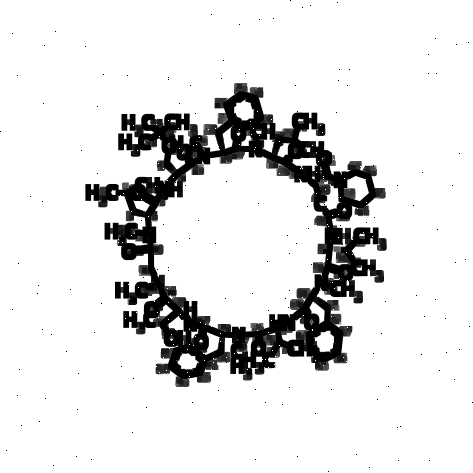 CC(C)C[C@H]1C(=O)N[C@@H](COC(C)(C)C)C(=O)N(C)[C@@H](Cc2ccccc2)C(=O)N(C)[C@@H](CC(C)C)C(=O)N[C@H](C(=O)N2CCCCC2)CC(=O)N[C@H](C(C)C)C(=O)N(C)[C@@H](Cc2ccccc2)C(=O)N[C@@H](C(C)C)C(=O)N(C)[C@@H](Cc2ccccc2)C(=O)N[C@@H]([C@@H](C)O)C(=O)N(C)CC(=O)N1C